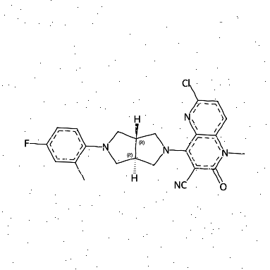 Cc1cc(F)ccc1N1C[C@@H]2CN(c3c(C#N)c(=O)n(C)c4ccc(Cl)nc34)C[C@H]2C1